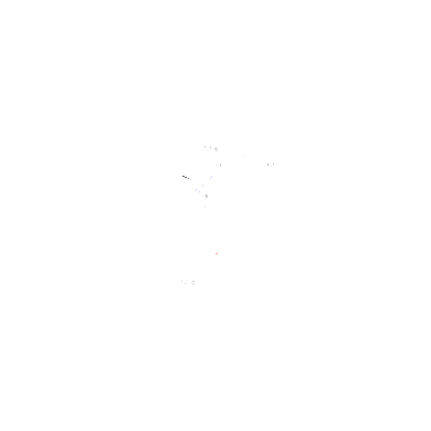 COC1=C(OC)[C@]23CCc4ccc(OC)c(O)c4[C@@]2(CC1=O)CC(=O)N3C